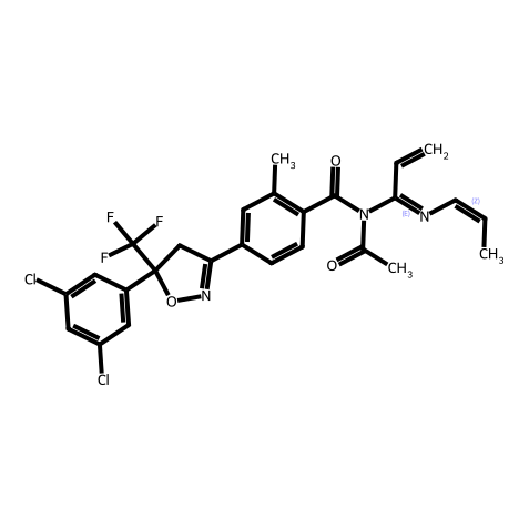 C=C/C(=N\C=C/C)N(C(C)=O)C(=O)c1ccc(C2=NOC(c3cc(Cl)cc(Cl)c3)(C(F)(F)F)C2)cc1C